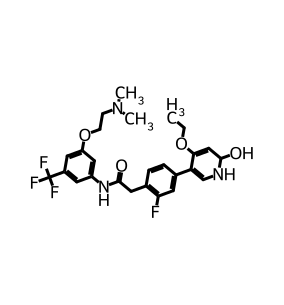 CCOC1=CC(O)NC=C1c1ccc(CC(=O)Nc2cc(OCCN(C)C)cc(C(F)(F)F)c2)c(F)c1